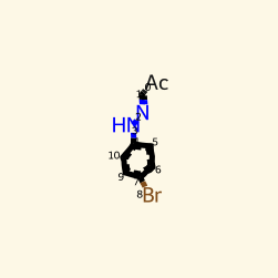 CC(=O)C=NNc1ccc(Br)cc1